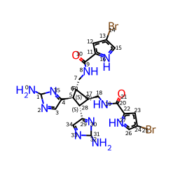 NC1N=CC([C@H]2[C@H](CNC(=O)c3cc(Br)c[nH]3)[C@@H](CNC(=O)c3cc(Br)c[nH]3)[C@@H]2C2=NC(N)N=C2)=N1